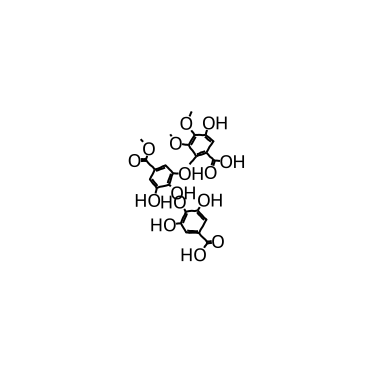 COC(=O)c1cc(O)c(O)c(O)c1.COc1c(O)cc(C(=O)O)c(C)c1OC.O=C(O)c1cc(O)c(O)c(O)c1